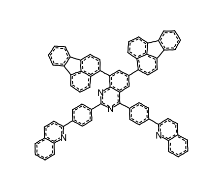 c1ccc2c(c1)-c1cccc3c(-c4cc(-c5ccc6c7c(cccc57)-c5ccccc5-6)c5nc(-c6ccc(-c7ccc8ccccc8n7)cc6)nc(-c6ccc(-c7ccc8ccccc8n7)cc6)c5c4)ccc-2c13